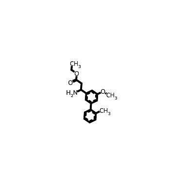 CCOC(=O)CC(N)c1cc(OC)cc(-c2ccccc2C)c1